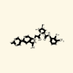 CC(=O)c1nn(CC(=O)N2[C@H](C)[C@@H](C)C[C@H]2C(=O)Nc2cccc(C(F)(F)F)c2F)c2cnc(-c3cnc(C)nc3)cc12